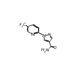 NC(=O)c1cnn(-c2ccc(C(F)(F)F)cn2)c1